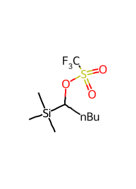 CCCCC(OS(=O)(=O)C(F)(F)F)[Si](C)(C)C